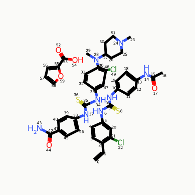 C=Cc1ccc(NC(=S)Nc2ccc(NC(C)=O)cc2)cc1Cl.CN1CCC(N(C)c2ccc(NC(=S)Nc3ccc(C(N)=O)cc3)cc2Cl)CC1.O=C(O)c1ccco1